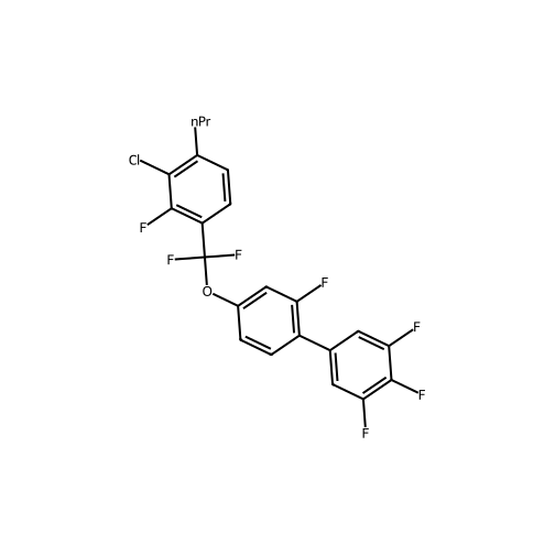 CCCc1ccc(C(F)(F)Oc2ccc(-c3cc(F)c(F)c(F)c3)c(F)c2)c(F)c1Cl